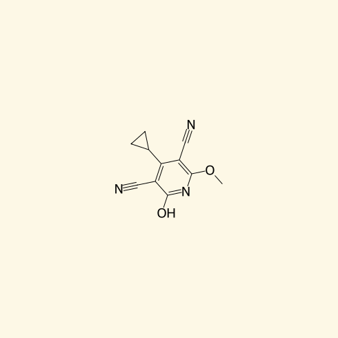 COc1nc(O)c(C#N)c(C2CC2)c1C#N